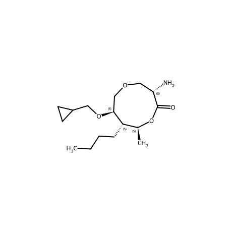 CCCC[C@H]1[C@H](C)OC(=O)[C@@H](N)COC[C@@H]1OCC1CC1